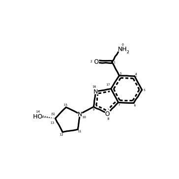 NC(=O)c1[c]ccc2oc(N3CC[C@H](O)C3)nc12